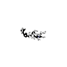 Cc1ncsc1-c1ccc([C@H](C)NC(=O)[C@@H]2C[C@@H](O)CN2C(=O)[C@@H](/C(O)=C/C(=N)OCC=O)C(C)C)cc1